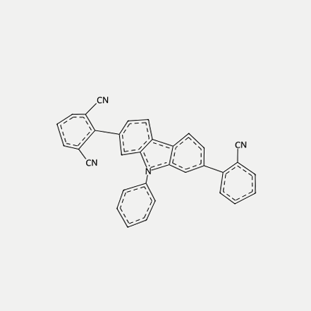 N#Cc1ccccc1-c1ccc2c3ccc(-c4c(C#N)cccc4C#N)cc3n(-c3ccccc3)c2c1